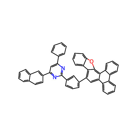 c1ccc(-c2cc(-c3ccc4ccccc4c3)nc(-c3cccc(-c4cc5c6ccccc6c6ccccc6c5c5oc6ccccc6c45)c3)n2)cc1